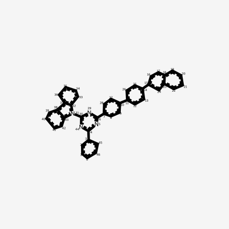 c1ccc(-c2nc(-c3ccc(-c4ccc(-c5ccc6ccccc6c5)cc4)cc3)nc(-n3c4ccccc4c4ccccc43)n2)cc1